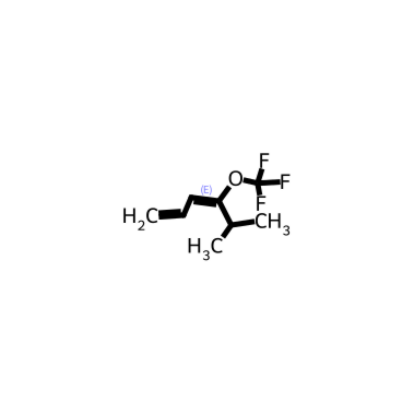 C=C/C=C(/OC(F)(F)F)C(C)C